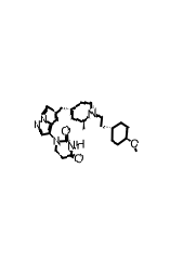 CO[C@H]1CC[C@H](CCN2CC[C@@H](Cc3ccn4ncc(N5CCC(=O)NC5=O)c4c3)C[C@@H]2C)CC1